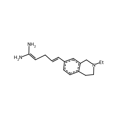 CCN1CCc2ccc(/C=C/CC=C(N)N)cc2C1